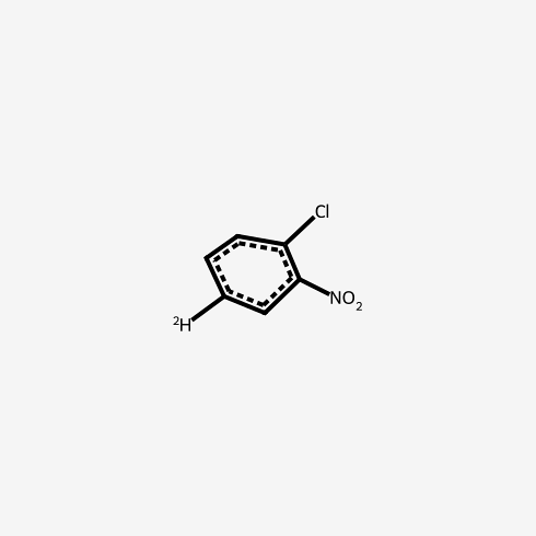 [2H]c1ccc(Cl)c([N+](=O)[O-])c1